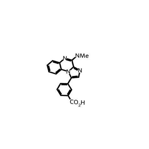 CNc1nc2ccccc2n2c(-c3cccc(C(=O)O)c3)cnc12